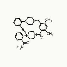 Cc1cc(C)c(C(=O)N2CCN(c3ccccc3C(N)=O)CC2)cc1CN1CCN(c2ccccc2C#N)CC1